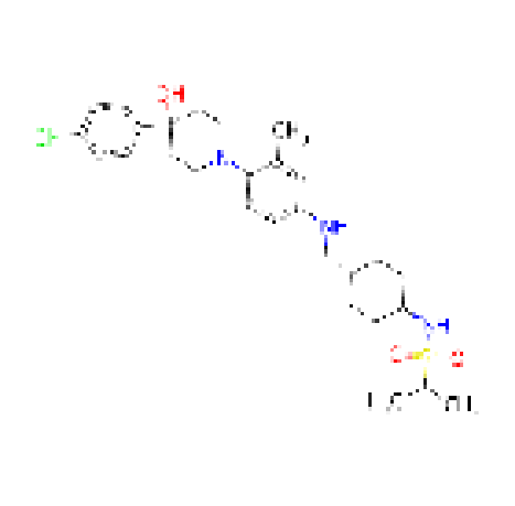 Cc1cc(NC[C@H]2CC[C@H](NS(=O)(=O)C(C)C)CC2)ccc1N1CCC(O)(c2ccc(Cl)cc2)CC1